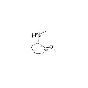 CNC1CCC[C@@H]1OC